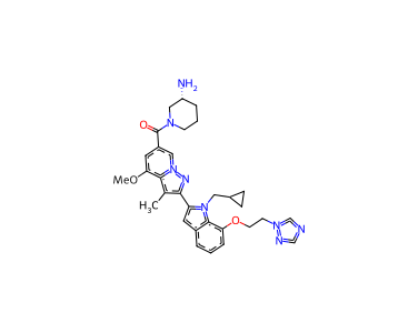 COc1cc(C(=O)N2CCC[C@@H](N)C2)cn2nc(-c3cc4cccc(OCCn5cncn5)c4n3CC3CC3)c(C)c12